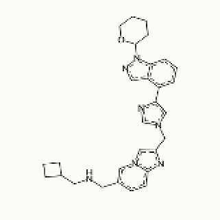 c1cc(-c2cn(Cc3cn4cc(CNCC5CCC5)ccc4n3)cn2)c2cnn(C3CCCCO3)c2c1